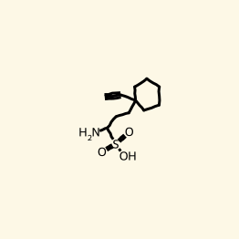 C#CC1(CCC(N)S(=O)(=O)O)CCCCC1